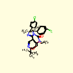 CCOc1cc(C(C)(C)C)ncc1C1=N[C@@](C)(c2ccc(Cl)cc2)[C@@](C)(c2ccc(Cl)cc2)N1C(=O)N(C)CCO